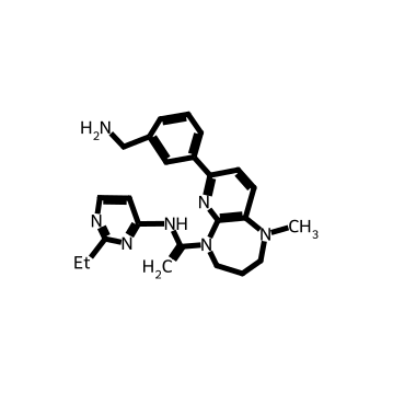 C=C(Nc1ccnc(CC)n1)N1CCCN(C)c2ccc(-c3cccc(CN)c3)nc21